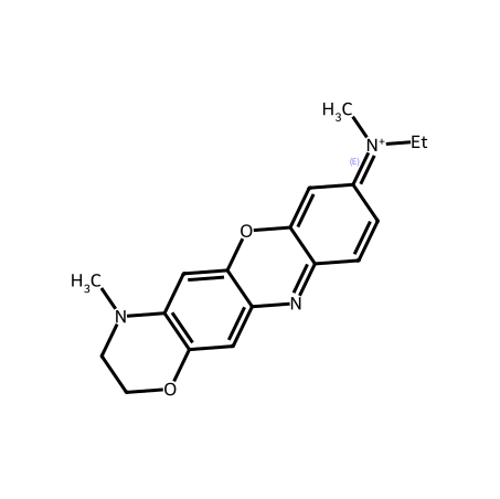 CC/[N+](C)=c1\ccc2nc3cc4c(cc3oc-2c1)N(C)CCO4